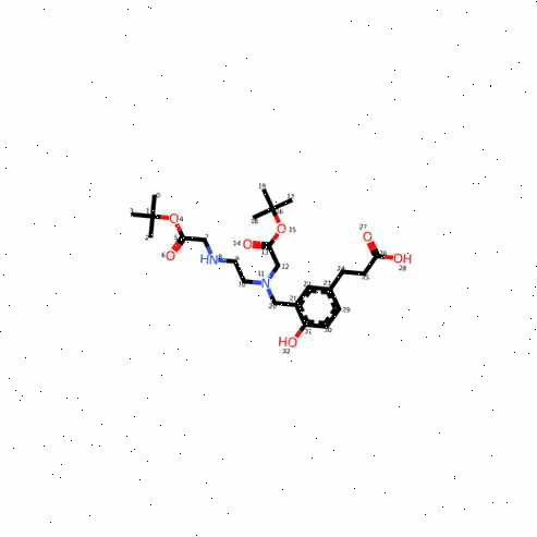 CC(C)(C)OC(=O)CNCCN(CC(=O)OC(C)(C)C)Cc1cc(CCC(=O)O)ccc1O